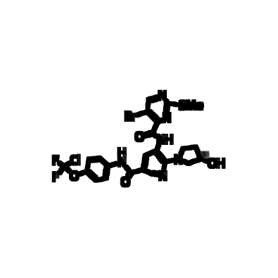 CSc1ncc(Br)c(C(=O)Nc2cc(C(=O)Nc3ccc(OC(F)(F)Cl)cc3)cnc2N2CC[C@@H](O)C2)n1